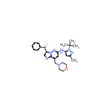 Cc1cc(Nc2cc(CN3CCOCC3)c3ncc(C(F)c4ccccc4)n3n2)n(C(C)(C)C)n1